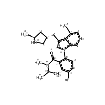 Cc1cncc2c1c(C[C@@H]1CN[C@@H](C)C1)cn2-c1ccc(F)cc1C(=O)N(C)C(C)C